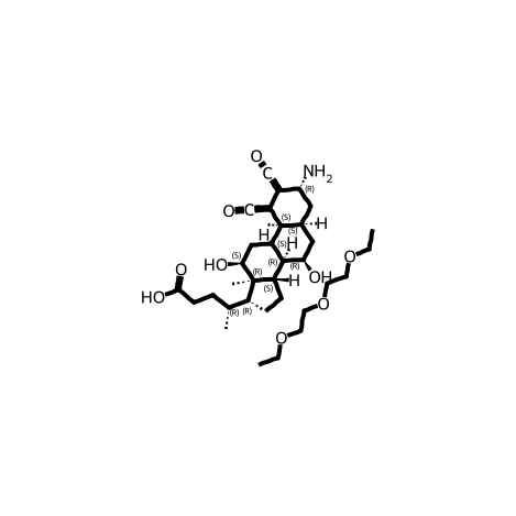 CCOCCOCCOCC.C[C@H](CCC(=O)O)[C@H]1CC[C@H]2[C@@H]3[C@H](O)C[C@@H]4C[C@@H](N)C(=C=O)C(=C=O)[C@]4(C)[C@H]3C[C@H](O)[C@]12C